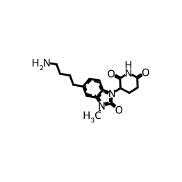 Cn1c(=O)n(C2CCC(=O)NC2=O)c2ccc(CCCCN)cc21